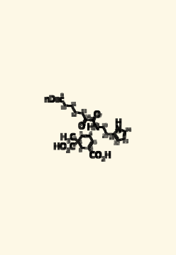 CC1(C(=O)O)C=CC=C(C(=O)O)C1.CCCCCCCCCCCCCCC(=O)C(=O)NCCc1ccc[nH]1